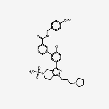 COc1ccc(CNC(=O)c2cccc(-c3cc(-c4nn(CCCN5CCCC5)c5c4CN(S(C)(=O)=O)CC5)ccc3Cl)c2)cc1